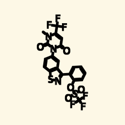 Cn1c(C(F)(F)F)cc(=O)n(-c2ccc3snc(-c4ccccc4OS(=O)(=O)C(F)(F)F)c3c2)c1=O